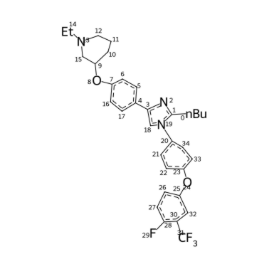 CCCCc1nc(-c2ccc(OC3CCCN(CC)C3)cc2)cn1-c1ccc(Oc2ccc(F)c(C(F)(F)F)c2)cc1